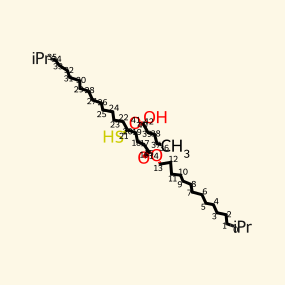 CC(C)CCCCCCCCCCCCCOC(=O)CCCC(S)CCCCCCCCCCCCCC(C)C.CCCCC(=O)O